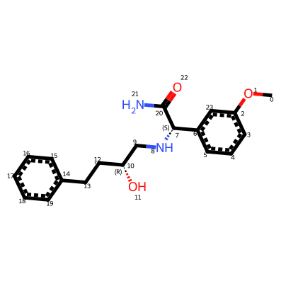 COc1cccc([C@H](NC[C@H](O)[CH]Cc2ccccc2)C(N)=O)c1